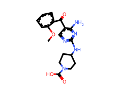 COc1ccccc1C(=O)c1cnc(NC2CCN(C(=O)O)CC2)nc1N